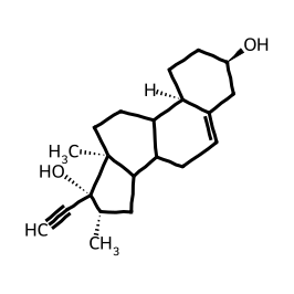 C#C[C@]1(O)[C@@H](C)CC2C3CC=C4C[C@H](O)CC[C@@H]4C3CC[C@@]21C